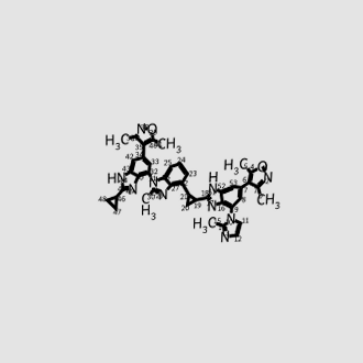 Cc1noc(C)c1-c1cc(-n2ccnc2C)c2nc(C3CC3c3cccc4c3nc(C)n4-c3cc(-c4c(C)noc4C)cc4[nH]c(C5CC5)nc34)[nH]c2c1